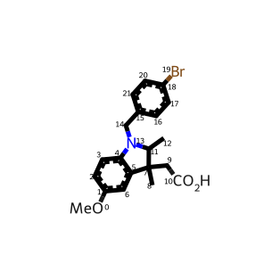 COc1ccc2c(c1)C(C)(CC(=O)O)C(C)N2Cc1ccc(Br)cc1